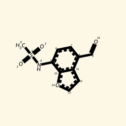 CS(=O)(=O)Nc1ccc(C=O)c2ccoc12